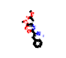 COC(=O)C[C@H](NC(=O)[C@@H](N)Cc1ccccc1)C(=O)OC